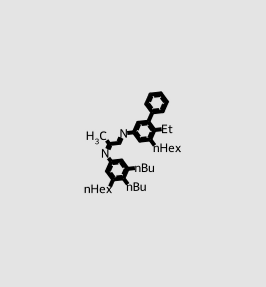 CCCCCCc1cc(N=C(C)C=Nc2cc(CCCCCC)c(CC)c(-c3ccccc3)c2)cc(CCCC)c1CCCC